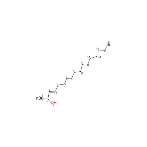 CCCC[C@@H](O)/C=C/CCCCCCCCCCCCBr